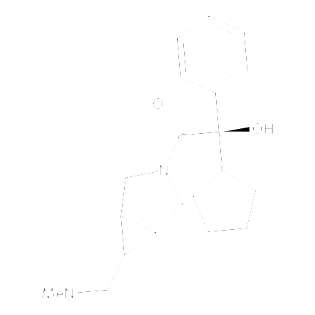 CNCC1C2CN(C(=O)[C@](O)(c3ccccc3)C3CCCC3)CC12